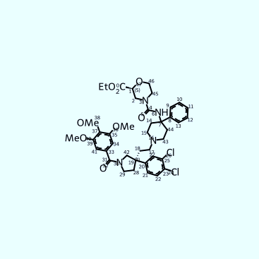 CCOC(=O)[C@@H]1CN(C(=O)NC2(c3ccccc3)CCN(CC[C@]3(c4ccc(Cl)c(Cl)c4)CCN(C(=O)c4cc(OC)c(OC)c(OC)c4)C3)CC2)CCO1